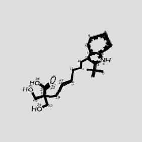 CC(C)(C)c1[nH]c2ccccc2c1CCCCCCC(CO)(CO)C(=O)O